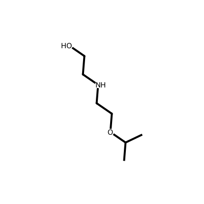 CC(C)OCCNCCO